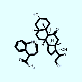 C[C@]12CC[C@@H](O)C[C@H]1CC[C@@H]1[C@@H]2C(=O)C[C@@]2(C)[C@H]1CC[C@]2(O)C(=O)CO.NC(=O)C1=CC=CNc2ccccc21